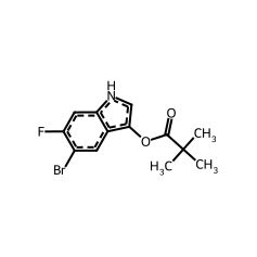 CC(C)(C)C(=O)Oc1c[nH]c2cc(F)c(Br)cc12